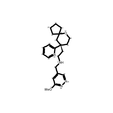 COc1cc(CNCC[C@]2(c3ccccn3)CCOC3(CCCC3)C2)cnn1